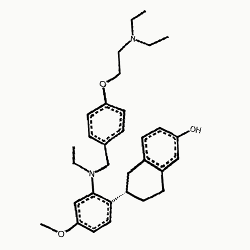 CCN(CC)CCOc1ccc(CN(CC)c2cc(OC)ccc2[C@H]2CCc3cc(O)ccc3C2)cc1